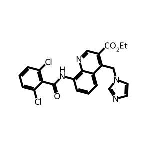 CCOC(=O)c1cnc2c(NC(=O)c3c(Cl)cccc3Cl)cccc2c1Cn1ccnc1